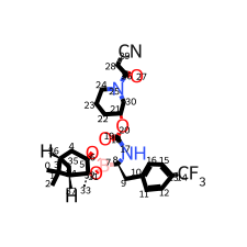 CC1(C)[C@@H]2CC3OB([C@H](Cc4ccc(C(F)(F)F)cc4)NC(=O)O[C@H]4CCCN(C(=O)CC#N)C4)O[C@@]3(C)[C@H]1C2